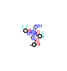 COc1ccc(C)cc1C(=O)N1CC[C@@H](Nc2nc3ccc(F)c(F)c3o2)C1.Fc1ccc2nc(N[C@@H]3CCNC3)oc2c1F